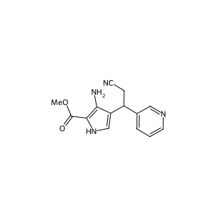 COC(=O)c1[nH]cc(C(CC#N)c2cccnc2)c1N